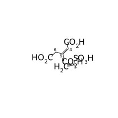 C=CS(=O)(=O)O.O=C(O)C=C(CC(=O)O)C(=O)O